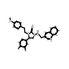 COc1ccc(CCN2C(=O)N(NCc3cnc4ccccc4c3)CC2c2ccc(C)c(C)c2)cc1